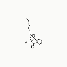 C=CCC1(C/C=C/CCCCCC)C(=O)c2ccccc2C1=O